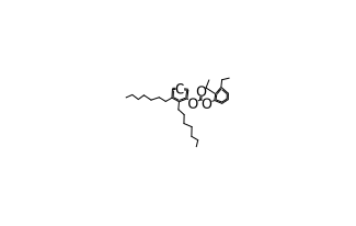 CCCCCCCc1cccc(OC(=O)Oc2cccc(CC)c2CC)c1CCCCCCC